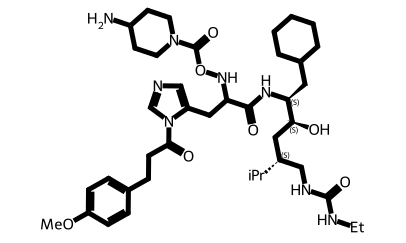 CCNC(=O)NC[C@@H](C[C@H](O)[C@H](CC1CCCCC1)NC(=O)C(Cc1cncn1C(=O)CCc1ccc(OC)cc1)NOC(=O)N1CCC(N)CC1)C(C)C